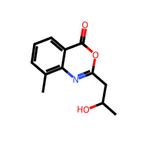 Cc1cccc2c(=O)oc(CC(C)O)nc12